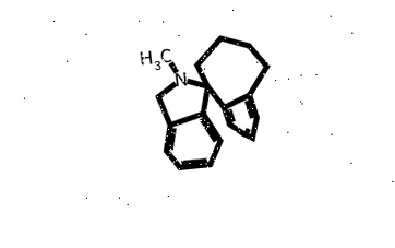 CN1Cc2ccccc2C12CCCCc1ccccc12